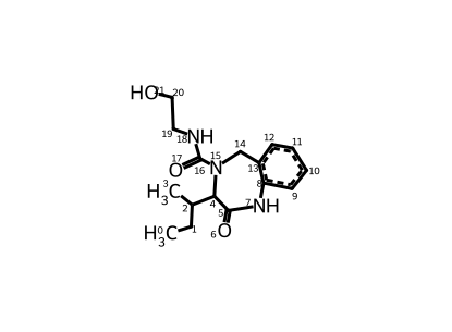 CCC(C)C1C(=O)Nc2ccccc2CN1C(=O)NCCO